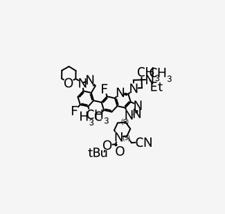 CCN(C)C1(C)CN(c2nc3c(F)c(-c4c(C)c(F)cc5c4cnn5C4CCCCO4)c(C)cc3c3c2nnn3[C@H]2CCN(C(=O)OC(C)(C)C)[C@H](CC#N)C2)C1